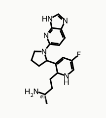 C[C@@H](N)CCC1NC=C(F)C=C1C1CCCN1c1ccc2nc[nH]c2n1